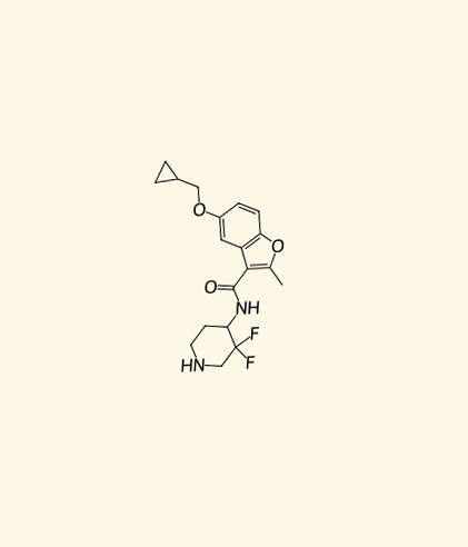 Cc1oc2ccc(OCC3CC3)cc2c1C(=O)NC1CCNCC1(F)F